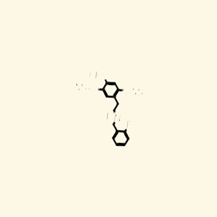 CCCc1cc(OC)c(CCNCc2ccccc2F)cc1OC